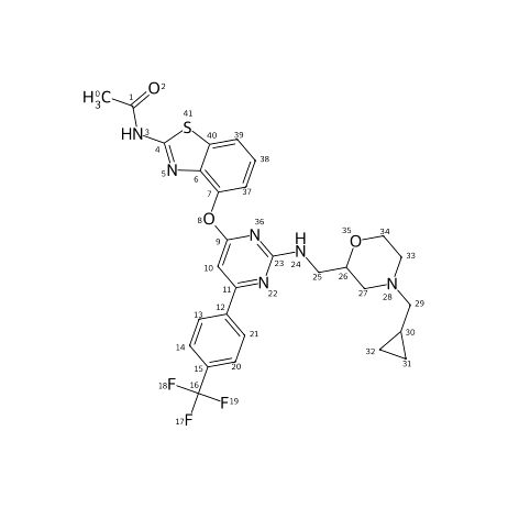 CC(=O)Nc1nc2c(Oc3cc(-c4ccc(C(F)(F)F)cc4)nc(NCC4CN(CC5CC5)CCO4)n3)cccc2s1